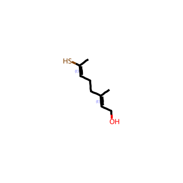 C/C(S)=C\CC/C(C)=C/CO